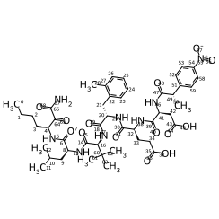 CCCC[C@H](NC(=O)[C@H](CC(C)C)NC(=O)[C@@H](NC(=O)[C@H](Cc1ccccc1C)NC(=O)[C@H](CCC(=O)O)NC(=O)[C@H](CC(=O)O)NC(=O)[C@@H](C)c1ccc([N+](=O)[O-])cc1)C(C)(C)C)C(=O)C(N)=O